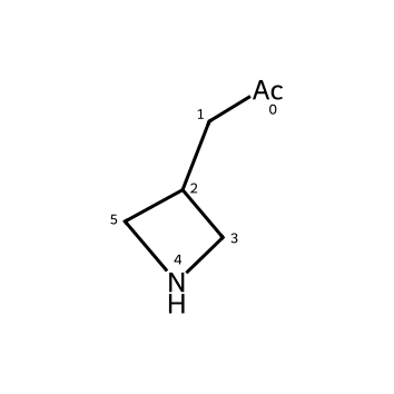 CC(=O)CC1CNC1